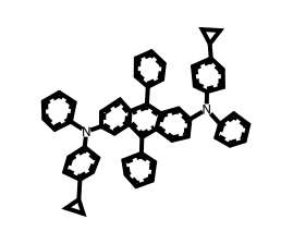 c1ccc(-c2c3ccc(N(c4ccccc4)c4ccc(C5CC5)cc4)cc3c(-c3ccccc3)c3ccc(N(c4ccccc4)c4ccc(C5CC5)cc4)cc23)cc1